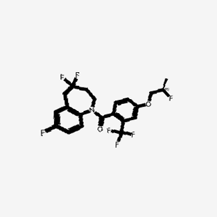 C[C@@H](F)COc1ccc(C(=O)N2CCC(F)(F)Cc3cc(F)ccc32)c(C(F)(F)F)c1